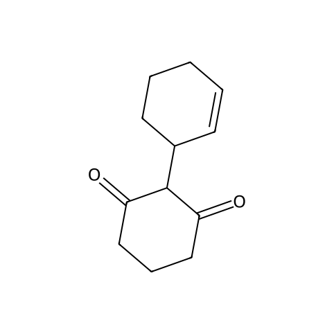 O=C1CCCC(=O)C1C1C=CCCC1